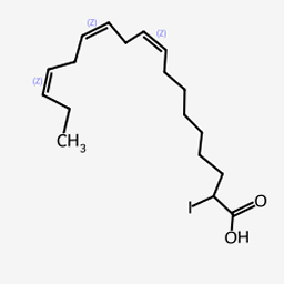 CC/C=C\C/C=C\C/C=C\CCCCCCC(I)C(=O)O